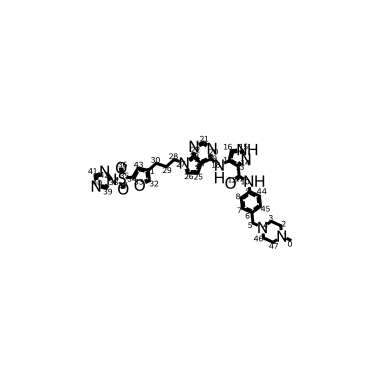 CN1CCN(Cc2ccc(NC(=O)c3n[nH]cc3Nc3ncnc4c3ccn4CCCc3coc(S(=O)(=O)n4cncn4)c3)cc2)CC1